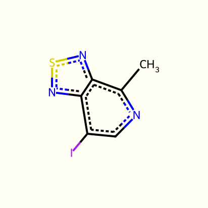 Cc1ncc(I)c2nsnc12